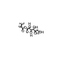 CC(C)=C(C)C(=O)OC(=O)[C@H](O)[C@@H](O)[C@H](O)[C@H](O)CO